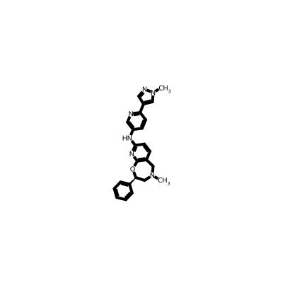 CN1Cc2ccc(Nc3ccc(-c4cnn(C)c4)nc3)nc2O[C@H](c2ccccc2)C1